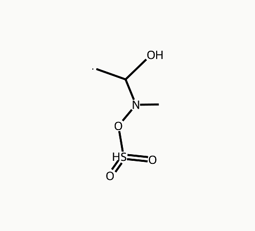 [CH2]C(O)N(C)O[SH](=O)=O